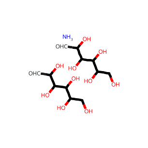 N.O=CC(O)C(O)C(O)C(O)CO.O=CC(O)C(O)C(O)C(O)CO